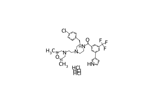 C[C@@H]1CN(CCN2CCN(C(=O)c3cc(-c4cc[nH]c4)cc(C(F)(F)F)c3)[C@H](Cc3ccc(Cl)cc3)C2)C[C@H](C)O1.Cl.Cl.Cl